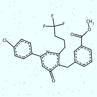 COC(=O)c1cccc(Cn2c(CCCC(F)(F)F)nc(-c3ccc(Cl)cc3)cc2=O)c1